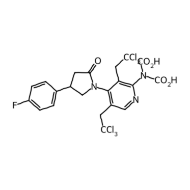 O=C1CC(c2ccc(F)cc2)CN1c1c(CC(Cl)(Cl)Cl)cnc(N(C(=O)O)C(=O)O)c1CC(Cl)(Cl)Cl